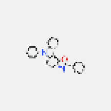 c1ccc(-c2nc3ccc4c(c5ccccc5n4-c4ccccc4)c3o2)cc1